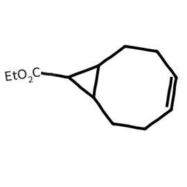 CCOC(=O)C1C2CCC=CCCC21